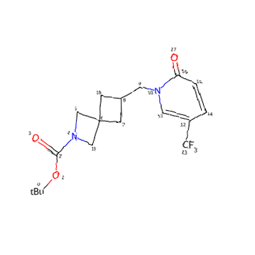 CC(C)(C)OC(=O)N1CC2(CC(Cn3cc(C(F)(F)F)ccc3=O)C2)C1